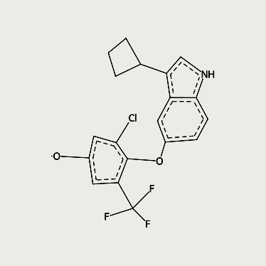 [O]c1cc(Cl)c(Oc2ccc3[nH]cc(C4CCC4)c3c2)c(C(F)(F)F)c1